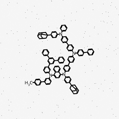 Cc1ccc(-c2cccc(N(c3cccc(-c4cc(-c5ccccc5)cc(-c5ccccc5)c4)c3)c3ccc(N(c4ccc(-c5ccc(N(c6ccc(-c7ccccc7)cc6)c6ccc(-c7ccc(N(c8ccccc8)c8ccc(C9%10CC%11CC(CC(C%11)C9)C%10)cc8)cc7)cc6)cc5)cc4)c4ccc(C56CC7CC(CC(C7)C5)C6)cc4)c4ccccc34)c2)cc1